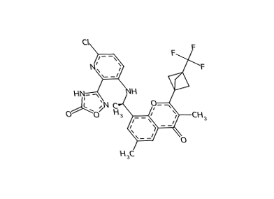 Cc1cc([C@@H](C)Nc2ccc(Cl)nc2-c2noc(=O)[nH]2)c2oc(C34CC(C(F)(F)F)(C3)C4)c(C)c(=O)c2c1